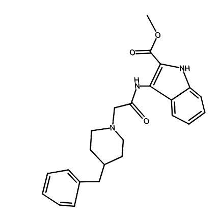 COC(=O)c1[nH]c2ccccc2c1NC(=O)CN1CCC(Cc2ccccc2)CC1